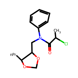 CCCC1OCOC1CN(C(=O)C(C)Cl)c1ccccc1